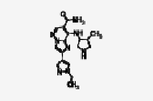 CCn1cc(-c2cn3ncc(C(N)=O)c(NC4CNCC4C)c3n2)cn1